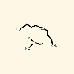 CCC[CH2][Ca][CH2]CCC.OP(O)O